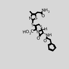 Cc1nc(SC2=C(C(=O)O)N3C(=O)[C@@H](NC(=O)Cc4ccccc4)[C@H]3SC2)sc1CC(N)=O